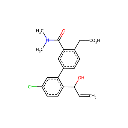 C=CC(O)c1ccc(Cl)cc1-c1ccc(CC(=O)O)c(C(=O)N(C)C)c1